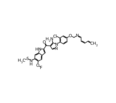 C=C/C=C\C=N/COc1ccc(-n2ncc(C(=O)c3cc4cc(OF)c(NSC)cc4[nH]3)c2N)c(Cl)c1